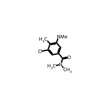 CNc1cc(C(=O)N(C)C)cc(Cl)c1C